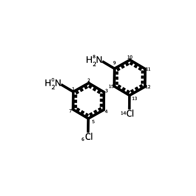 Nc1cccc(Cl)c1.Nc1cccc(Cl)c1